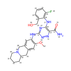 COc1cc2c(cc1Nc1nnc(C(N)=O)c(Nc3c(F)cccc3CO)n1)CN1CCCCC1C2